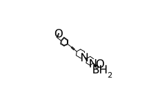 BC(=O)N1CCC(N2CCC(C#Cc3ccc(C=O)cc3)CC2)CC1